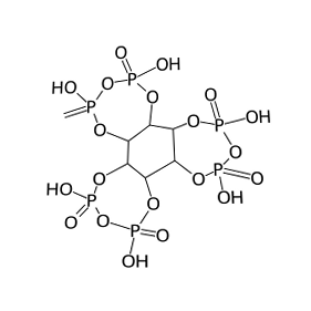 C=P1(O)OC2C(OP(=O)(O)O1)C1OP(=O)(O)OP(=O)(O)OC1C1OP(=O)(O)OP(=O)(O)OC21